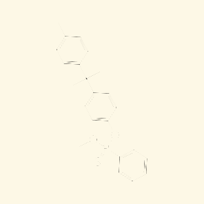 COP(=S)(Oc1ccc(C(C)(C)c2ccc(C)cc2)cc1)c1ccccc1